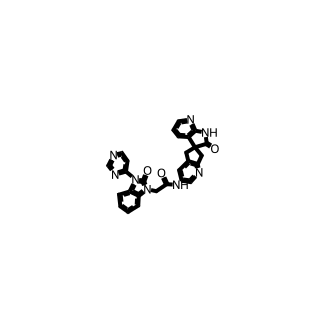 O=C(Cn1c(=O)n(-c2ccncn2)c2ccccc21)Nc1cnc2c(c1)CC1(C2)C(=O)Nc2ncccc21